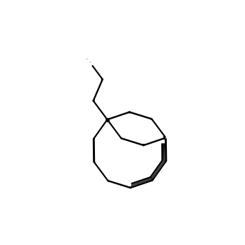 O=NCCC12CCCC=C=C=C(CC1)CC2